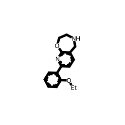 CCOc1ccccc1-c1ccc2c(n1)OCCNC2